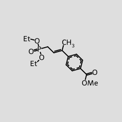 CCOP(=O)(CC=C(C)c1ccc(C(=O)OC)cc1)OCC